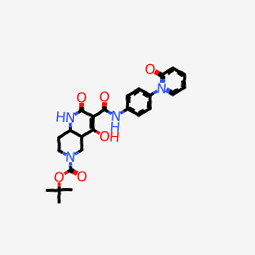 CC(C)(C)OC(=O)N1CCC2NC(=O)C(C(=O)Nc3ccc(-n4ccccc4=O)cc3)=C(O)C2C1